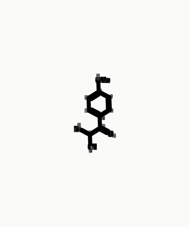 COc1ccc(C(=O)C(Br)C#N)cc1